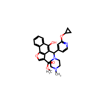 COC(=O)c1coc2c1c(C(c1ccnc(OC3CC3)c1)N1CCN(C)CC1)c(O)c1ccccc12